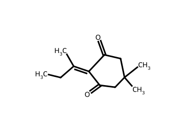 CCC(C)=C1C(=O)CC(C)(C)CC1=O